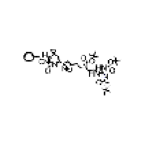 CC(C)(C)OC(=O)/N=C(\NCCN(CCc1cc([C@@H]2CC3(CC3)[C@H]3CN2C(=O)N3OCc2ccccc2)no1)C(=O)OC(C)(C)C)NC(=O)OC(C)(C)C